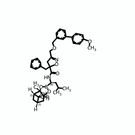 COc1ccc(-c2cccc(COCC3=NOC(Cc4ccccc4)(C(=O)N[C@@H](CC(C)C)B4O[C@@H]5C[C@@H]6C[C@@H](C6(C)C)[C@]5(C)O4)C3)c2)cc1